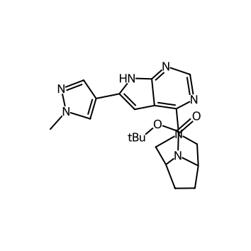 Cn1cc(-c2cc3c(N4CC5CCC(C4)N5C(=O)OC(C)(C)C)ncnc3[nH]2)cn1